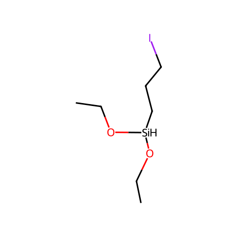 CCO[SiH](CCCI)OCC